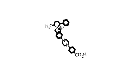 CC1CCC(c2ccccc2)S(=O)(=O)N1Cc1ccc(N2CCN(c3ccc(C(=O)O)cc3)CC2)cc1F